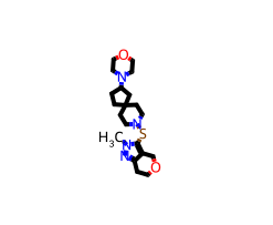 Cn1nc2c(c1SN1CCC3(CCC(N4CCOCC4)C3)CC1)COCC2